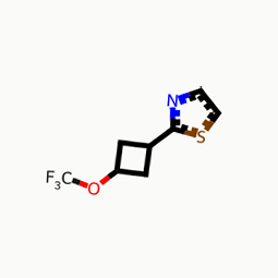 FC(F)(F)OC1CC(c2n[c]cs2)C1